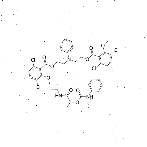 CCNC(=O)C(C)OC(=O)Nc1ccccc1.COc1c(Cl)ccc(Cl)c1C(=O)OCCN(CCOC(=O)c1c(Cl)ccc(Cl)c1OC)c1ccccc1